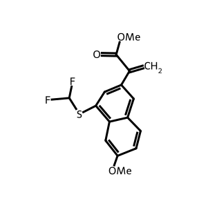 C=C(C(=O)OC)c1cc(SC(F)F)c2cc(OC)ccc2c1